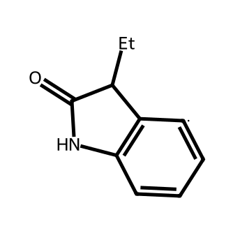 CCC1C(=O)Nc2ccc[c]c21